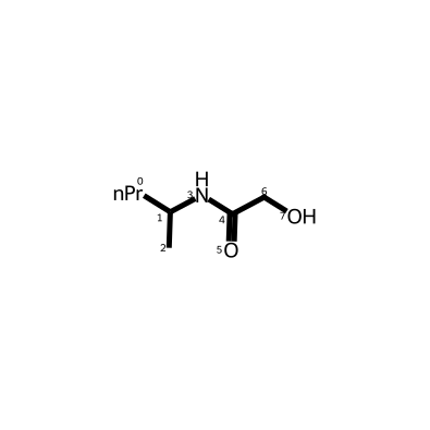 CCCC(C)NC(=O)CO